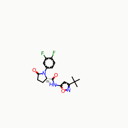 CC(C)(C)c1cc(NC(=O)[C@@H]2CCC(=O)N2c2ccc(F)c(F)c2)on1